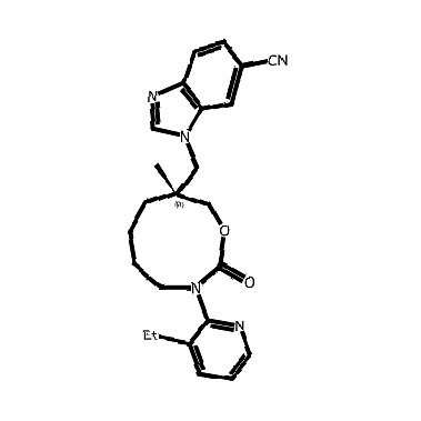 CCc1cccnc1N1CCCC[C@](C)(Cn2cnc3ccc(C#N)cc32)COC1=O